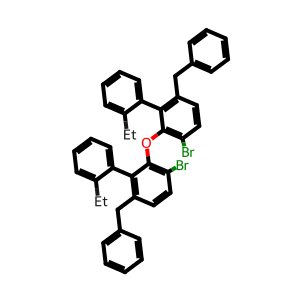 CCc1ccccc1-c1c(Cc2ccccc2)ccc(Br)c1Oc1c(Br)ccc(Cc2ccccc2)c1-c1ccccc1CC